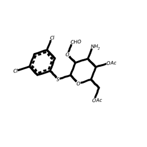 CC(=O)OCC1OC(Sc2cc(Cl)cc(Cl)c2)C(OC=O)C(N)C1OC(C)=O